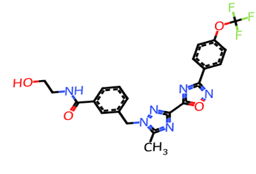 Cc1nc(-c2nc(-c3ccc(OC(F)(F)F)cc3)no2)nn1Cc1cccc(C(=O)NCCO)c1